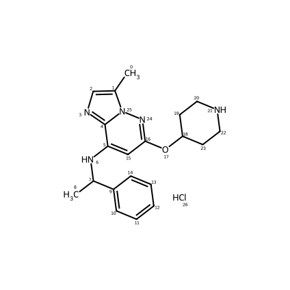 Cc1cnc2c(NC(C)c3ccccc3)cc(OC3CCNCC3)nn12.Cl